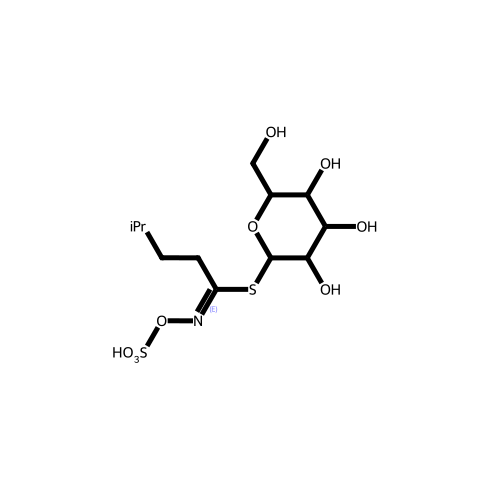 CC(C)CC/C(=N\OS(=O)(=O)O)SC1OC(CO)C(O)C(O)C1O